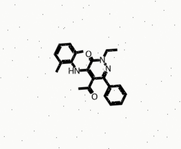 CCn1nc(-c2ccccc2)c(C(C)=O)c(Nc2c(C)cccc2C)c1=O